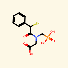 O=C(O)CN(CP(=O)(O)O)C(=O)C(S)c1ccccc1